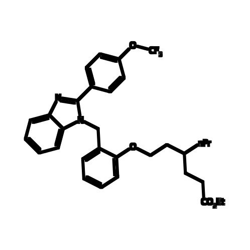 CCCC(CCOc1ccccc1Cn1c(-c2ccc(OC(F)(F)F)cc2)nc2ccccc21)CCC(=O)OCC